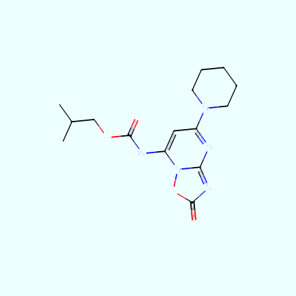 CC(C)COC(=O)Nc1cc(N2CCCCC2)nc2nc(=O)on12